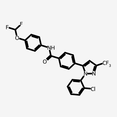 O=C(Nc1ccc(OC(F)F)cc1)c1ccc(-c2cc(C(F)(F)F)nn2-c2ccccc2Cl)cc1